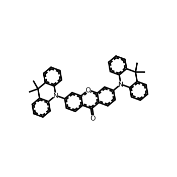 CC1(C)c2ccccc2N(c2ccc3c(=O)c4ccc(N5c6ccccc6C(C)(C)c6ccccc65)cc4oc3c2)c2ccccc21